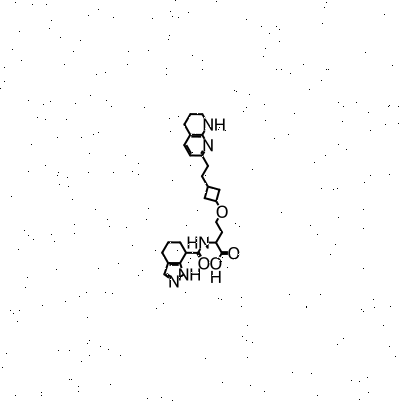 O=C(O)C(CCOC1CC(CCc2ccc3c(n2)NCCC3)C1)NC(=O)C1CCCc2cn[nH]c21